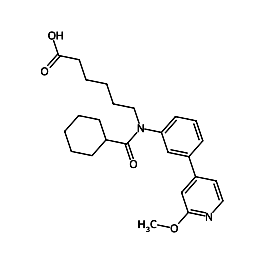 COc1cc(-c2cccc(N(CCCCCC(=O)O)C(=O)C3CCCCC3)c2)ccn1